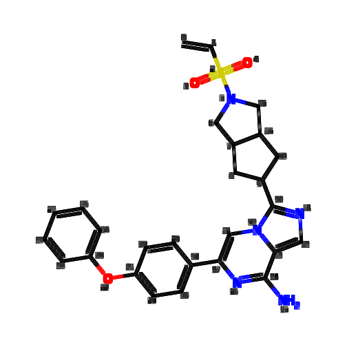 C=CS(=O)(=O)N1CC2CC(c3ncc4c(N)nc(-c5ccc(Oc6ccccc6)cc5)cn34)CC2C1